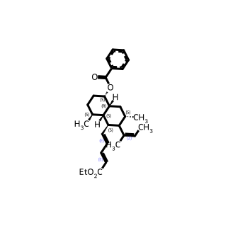 C/C=C(/C)C1[C@@H](/C=C/C=C/C(=O)OCC)[C@H]2[C@@H](C[C@@H]1C)[C@@H](OC(=O)c1ccccc1)CC[C@@H]2C